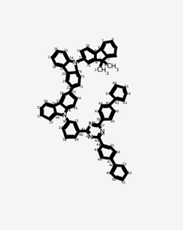 CC1(C)c2ccccc2-c2ccc(-n3c4ccccc4c4cc(-c5ccc6c(c5)c5ccccc5n6-c5cccc(-c6nc(-c7ccc(-c8ccccc8)cc7)nc(-c7ccc(-c8ccccc8)cc7)n6)c5)ccc43)cc21